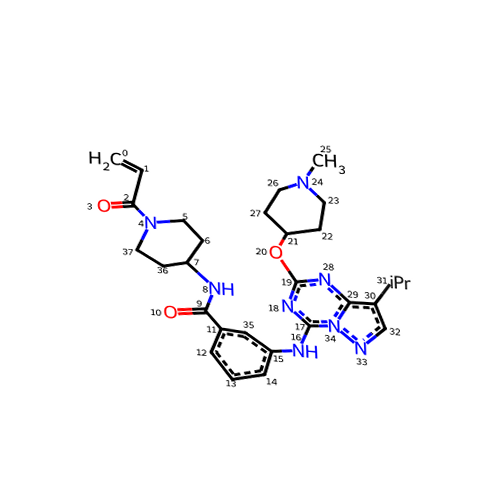 C=CC(=O)N1CCC(NC(=O)c2cccc(Nc3nc(OC4CCN(C)CC4)nc4c(C(C)C)cnn34)c2)CC1